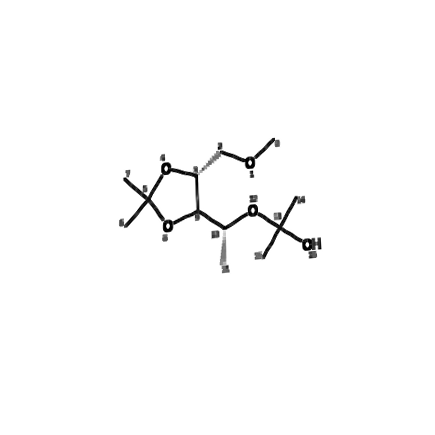 COC[C@H]1OC(C)(C)OC1[C@@H](C)OC(C)(C)O